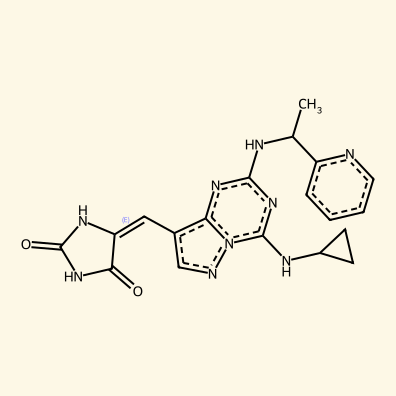 CC(Nc1nc(NC2CC2)n2ncc(/C=C3/NC(=O)NC3=O)c2n1)c1ccccn1